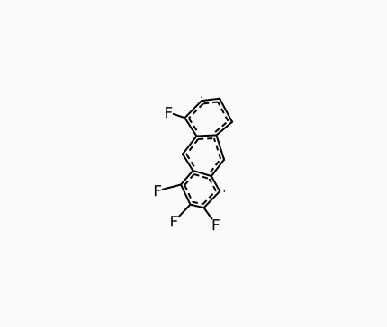 Fc1[c]c2cc3cc[c]c(F)c3cc2c(F)c1F